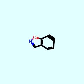 c1ccc2cnoc2c#1